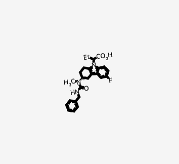 CCC(C(=O)O)n1c2c(c3cc(F)ccc31)C[C@@H](N(C)C(=O)NCc1ccccc1)CC2